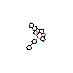 c1ccc(-c2ccc(N(c3ccccc3)c3cccc4sc5ccc6c7cc8ccccc8cc7oc6c5c34)cc2)cc1